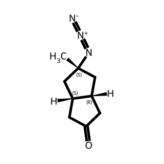 C[C@]1(N=[N+]=[N-])C[C@H]2CC(=O)C[C@H]2C1